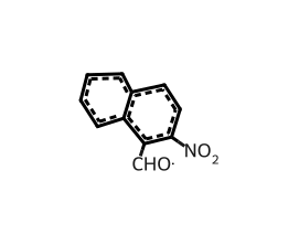 O=[C]c1c([N+](=O)[O-])ccc2ccccc12